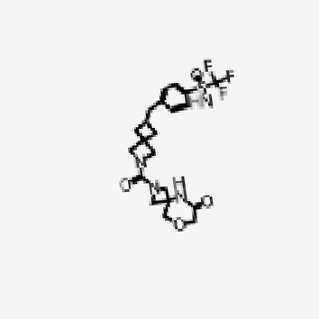 N=S(=O)(c1ccc(CC2CC3(C2)CN(C(=O)N2CC4(COCC(=O)N4)C2)C3)cc1)C(F)(F)F